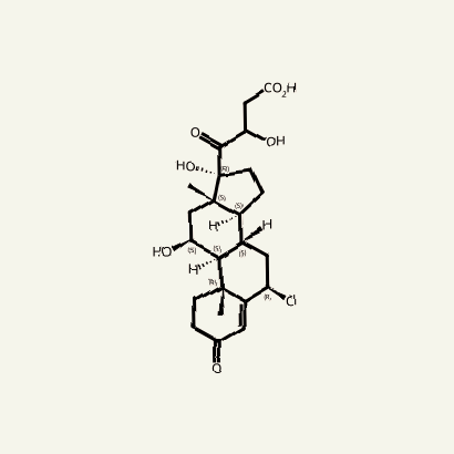 C[C@]12CCC(=O)C=C1[C@H](Cl)C[C@@H]1[C@@H]2[C@@H](O)C[C@@]2(C)[C@H]1CC[C@]2(O)C(=O)C(O)CC(=O)O